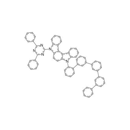 c1ccc(-c2cccc(-c3cccc(-c4cccc(-c5ccccc5-n5c6ccccc6c6c7c8ccccc8n(-c8nc(-c9ccccc9)nc(-c9ccccc9)n8)c7ccc65)c4)c3)c2)cc1